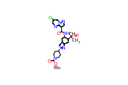 CC(C)(C)OC(=O)N1CCC(n2cc3cc(NC(=O)c4cnn5cc(Cl)cnc45)c(C(C)(C)O)cc3n2)CC1